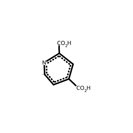 O=C(O)c1c[c]nc(C(=O)O)c1